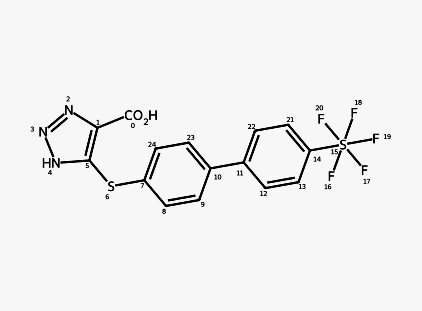 O=C(O)c1nn[nH]c1Sc1ccc(-c2ccc(S(F)(F)(F)(F)F)cc2)cc1